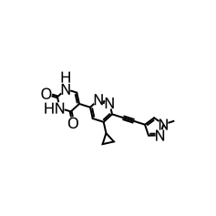 Cn1cc(C#Cc2nnc(-c3c[nH]c(=O)[nH]c3=O)cc2C2CC2)cn1